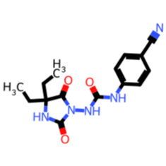 CCC1(CC)NC(=O)N(NC(=O)Nc2ccc(C#N)cc2)C1=O